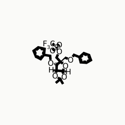 CC1(C)O[C@H]2O[C@@](COCc3ccccc3)(COS(=O)(=O)C(F)(F)F)[C@@H](OCc3ccccc3)[C@H]2O1